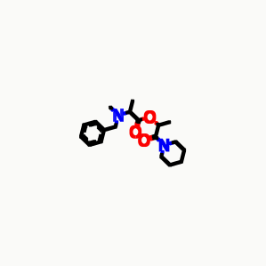 CC(OC(=O)C(C)N(C)Cc1ccccc1)C(=O)N1CCCCC1